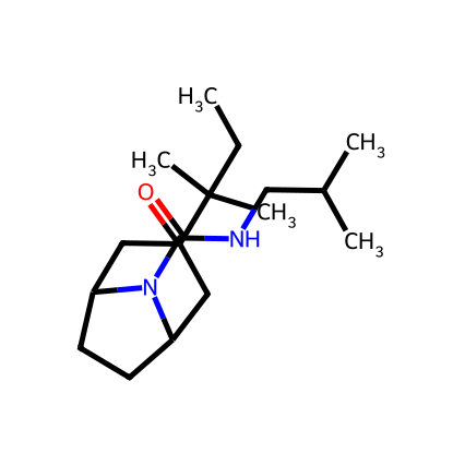 CCC(C)(C)C1CC2CCC(C1)N2C(=O)NCC(C)C